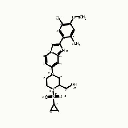 COc1cc(C)c(-c2cn3ccc(N4CCN(S(=O)(=O)C5CC5)C(CO)C4)cc3n2)cc1Cl